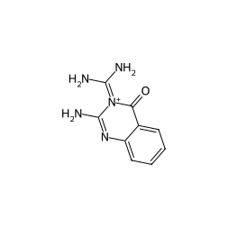 NC1=Nc2ccccc2C(=O)[N+]1=C(N)N